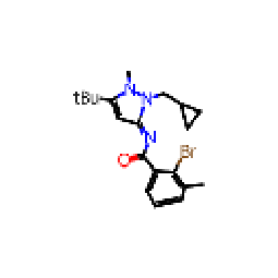 Cc1cccc(C(=O)/N=c2\cc(C(C)(C)C)n(C)n2CC2CC2)c1Br